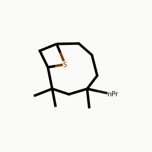 CCCC1(C)CCCC2CC(S2)C(C)(C)C1